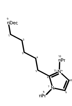 CCCCCCCCCCCCCCCc1n(CCC)cc[n+]1CCC